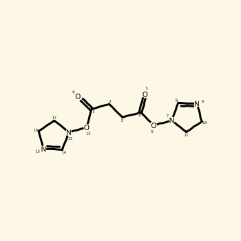 O=C(CCC(=O)ON1C=NCC1)ON1C=NCC1